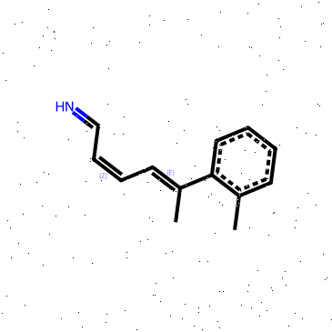 C/C(=C\C=C/C=N)c1ccccc1C